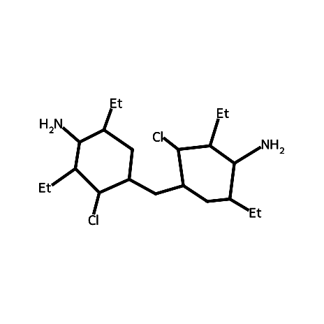 CCC1CC(CC2CC(CC)C(N)C(CC)C2Cl)C(Cl)C(CC)C1N